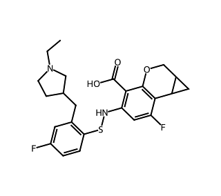 CCN1CCC(Cc2cc(F)ccc2SNc2cc(F)c3c(c2C(=O)O)OCC2CC32)C1